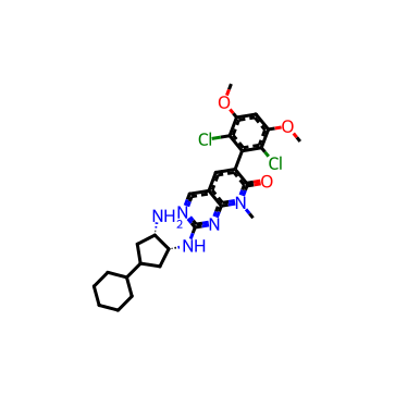 COc1cc(OC)c(Cl)c(-c2cc3cnc(N[C@@H]4CC(C5CCCCC5)C[C@@H]4N)nc3n(C)c2=O)c1Cl